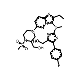 CCc1nc2ccc(N3CCN(S(C)(=O)=O)C(CO)C3)nn2c1N(C)c1nc(-c2ccc(F)cc2)c(CO)s1